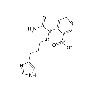 NC(=O)N(OCCCc1c[nH]cn1)c1ccccc1[N+](=O)[O-]